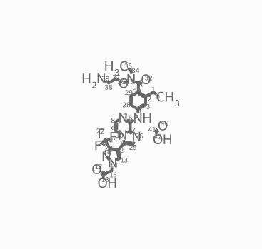 CCc1cc(Nc2nccn3c(-c4cn(CC(=O)O)nc4C(F)(F)F)cnc23)ccc1C(=O)N(CC)OCCN.O=CO